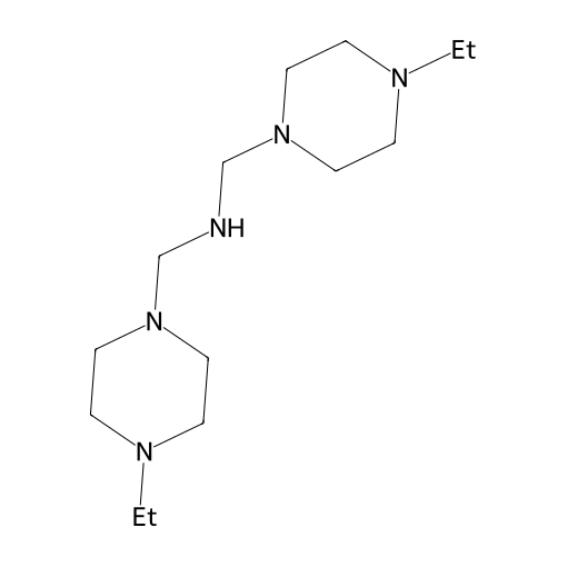 CCN1CCN(CNCN2CCN(CC)CC2)CC1